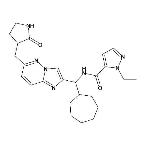 CCn1nccc1C(=O)NC(c1cn2nc(CC3CCNC3=O)ccc2n1)C1CCCCCC1